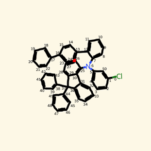 Clc1cccc(N(c2ccccc2-c2ccc(-c3ccccc3)cc2)c2cccc3c2-c2ccccc2C3(c2ccccc2)c2ccccc2)c1